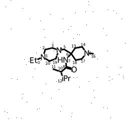 CCN1CCN(CC2(NC(=O)C(C)C(C)C)CCN(C)CC2)CC1